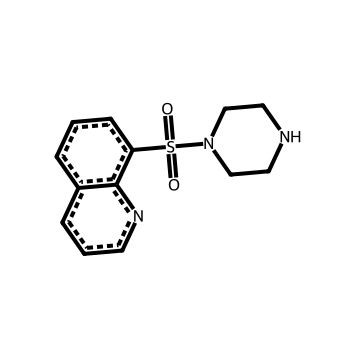 O=S(=O)(c1cccc2cccnc12)N1CCNCC1